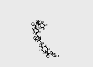 CCCN(C(=O)c1ccc(-c2nc(COC3CCN(C(=O)OC(C)(C)C)CC3)no2)cc1)N1CCCC1